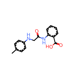 Cc1ccc(NCC(=O)Nc2ccccc2C(=O)O)cc1